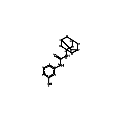 O=C(Nc1cccc(O)c1)NC12CC3CC(CC(C3)C1)C2